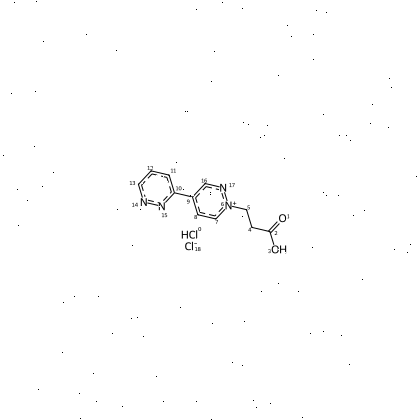 Cl.O=C(O)CC[n+]1ccc(-c2cccnn2)cn1.[Cl-]